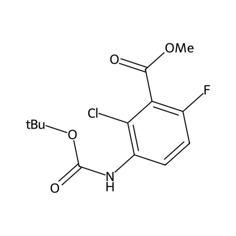 COC(=O)c1c(F)ccc(NC(=O)OC(C)(C)C)c1Cl